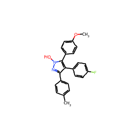 COc1ccc(-c2c(-c3ccc(F)cc3)c(-c3ccc(C)cc3)nn2O)cc1